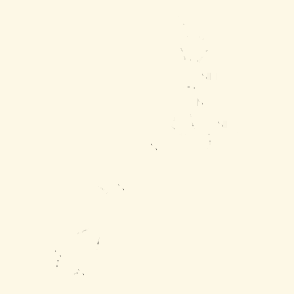 NC(=O)c1c(NC(=O)Nc2ccc(Cl)cc2)sc2c1CCN(CCCNC(=O)CCC1=CC3N=CC=NC3C=C1)C2